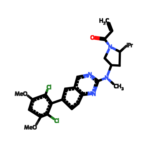 C=CC(=O)N1CC(N(C)c2ncc3cc(-c4c(Cl)c(OC)cc(OC)c4Cl)ccc3n2)CC1C(C)C